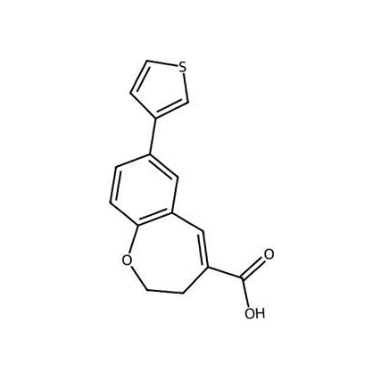 O=C(O)C1=Cc2cc(-c3ccsc3)ccc2OCC1